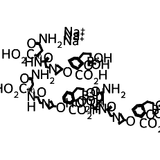 NC(=O)C[C@@H](NC(=O)CN1CC(Oc2ccc3c(c2C(=O)O)O[B-](O)(O)CC3)C1)C(=O)O.NC(=O)C[C@@H](NC(=O)CN1CC(Oc2ccc3c(c2C(=O)O)O[B-](O)(O)CC3)C1)C(=O)O.NC(=O)C[C@@H](NC(=O)CN1CC(Oc2ccc3c(c2C(=O)O)O[B-](O)(O)CC3)C1)C(=O)O.[Na+].[Na+].[Na+]